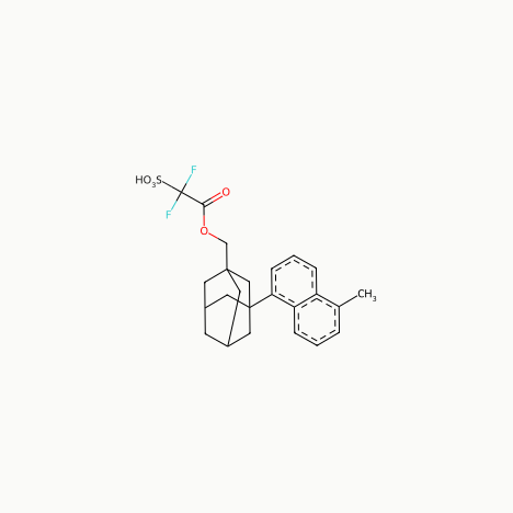 Cc1cccc2c(C34CC5CC(CC(COC(=O)C(F)(F)S(=O)(=O)O)(C5)C3)C4)cccc12